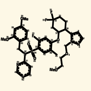 COCCOCn1nccc1C1CCC(F)(F)CC1Oc1cc(F)c(S(=O)(=O)N(Cc2ccc(OC)cc2OC)c2ccncn2)cc1C